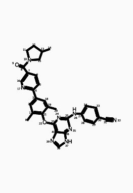 Cc1cc(-c2ccc(C(=O)N3CCC(C)C3)cn2)cc(C)c1Oc1nc(Nc2ccc(C#N)cc2)nc2[nH]cnc12